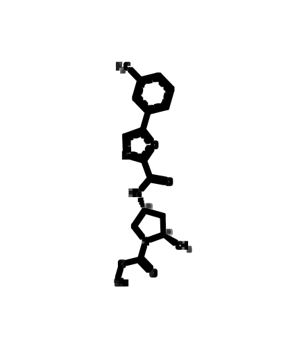 C[C@@H]1C[C@@H](NC(=O)c2ncc(-c3cccc(C(F)(F)F)c3)o2)CN1C(=O)OC(C)(C)C